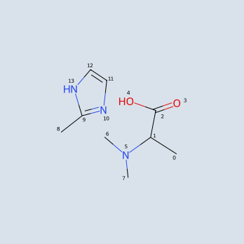 CC(C(=O)O)N(C)C.Cc1ncc[nH]1